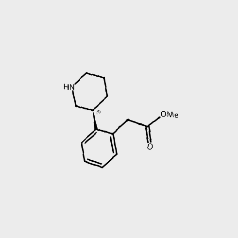 COC(=O)Cc1ccccc1[C@@H]1CCCNC1